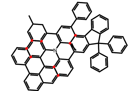 CC1C=CC=C(C2=C(N(c3ccccc3-c3ccc4c(c3)C(c3ccccc3)(c3ccccc3)c3ccccc3-4)c3ccccc3-c3cccc4cccc(-c5ccccc5)c34)C(C)CC(c3ccccc3)=C2)C1